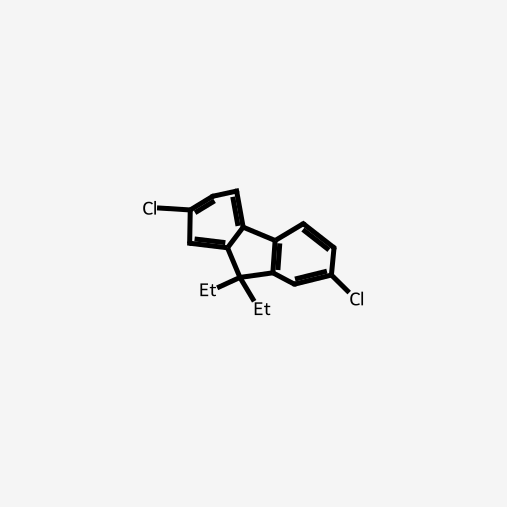 CCC1(CC)c2cc(Cl)ccc2-c2ccc(Cl)cc21